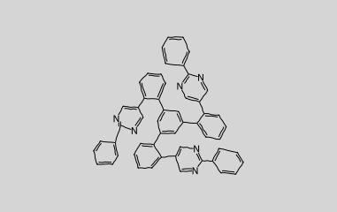 c1ccc(-c2ncc(-c3ccccc3-c3cc(-c4ccccc4-c4cnc(-c5ccccc5)nc4)cc(-c4ccccc4-c4cnc(-c5ccccc5)nc4)c3)cn2)cc1